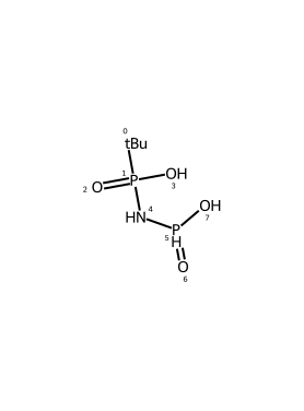 CC(C)(C)P(=O)(O)N[PH](=O)O